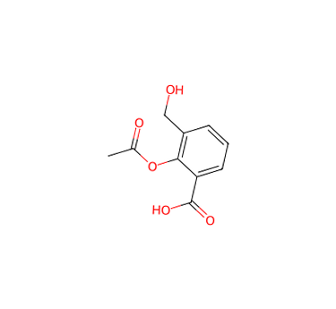 CC(=O)Oc1c(CO)cccc1C(=O)O